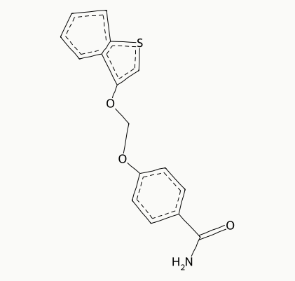 NC(=O)c1ccc(OCOc2csc3ccccc23)cc1